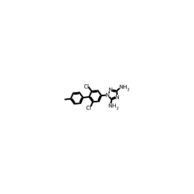 Cc1ccc(-c2c(Cl)cc(-n3nc(N)nc3N)cc2Cl)cc1